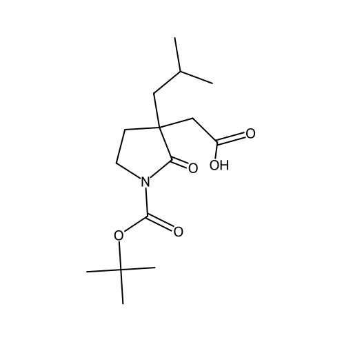 CC(C)CC1(CC(=O)O)CCN(C(=O)OC(C)(C)C)C1=O